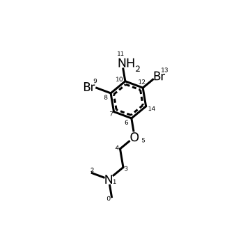 CN(C)CCOc1cc(Br)c(N)c(Br)c1